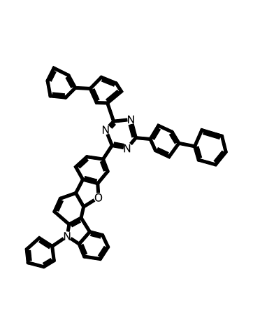 C1=CC2c3ccc(-c4nc(-c5ccc(-c6ccccc6)cc5)nc(-c5cccc(-c6ccccc6)c5)n4)cc3OC2c2c1n(-c1ccccc1)c1ccccc21